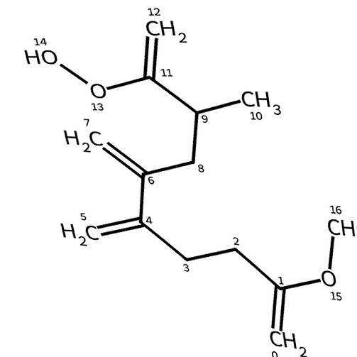 C=C(CCC(=C)C(=C)CC(C)C(=C)OO)OC=O